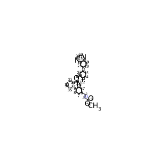 COC(=O)/C=C/c1cccc(N(Cc2ccc(-c3ccc4nccnc4c3)cc2)C(=O)C2CCCCC2)c1